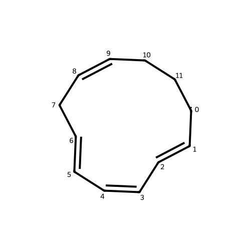 [CH]1/C=C/C=C\C=C\C/C=C\CC1